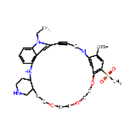 COc1cc(S(C)(=O)=O)c2cc1NCC#Cc1cc3c(cccc3n1CC(F)(F)F)NC1CCNCC1CCOCCOCCO2